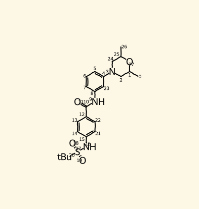 CC1CN(c2cccc(NC(=O)c3ccc(NS(=O)(=O)C(C)(C)C)cc3)c2)CC(C)O1